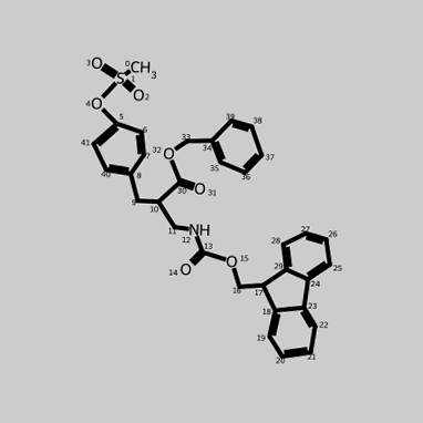 CS(=O)(=O)Oc1ccc(CC(CNC(=O)OCC2c3ccccc3-c3ccccc32)C(=O)OCc2ccccc2)cc1